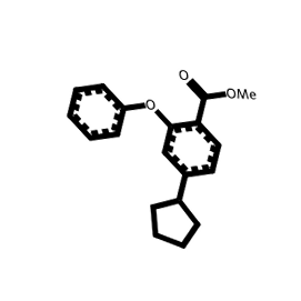 COC(=O)c1ccc(C2CCCC2)cc1Oc1ccccc1